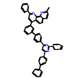 Cc1ccc2ccc3c(-c4cccc(-c5ccc(-c6cc(-c7ccc(-c8ccccc8)cc7)nc(-c7ccccc7)n6)cc5)c4)cc(-c4ccccc4)nc3c2n1